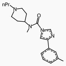 CCCN1CCC(N(C)C(=O)n2cnc(-c3cccc(C)c3)c2)CC1